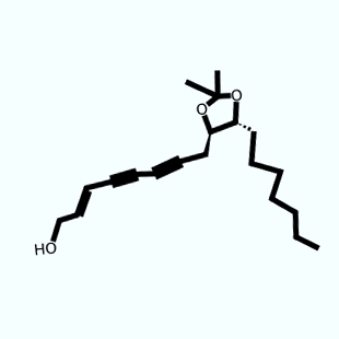 CCCCCCC[C@H]1OC(C)(C)O[C@@H]1CC#CC#C/C=C/CO